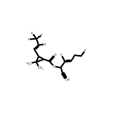 C#CC(OC(=O)C1C(/C=C(\Cl)C(F)(F)F)C1(C)C)/C(F)=C/CCF